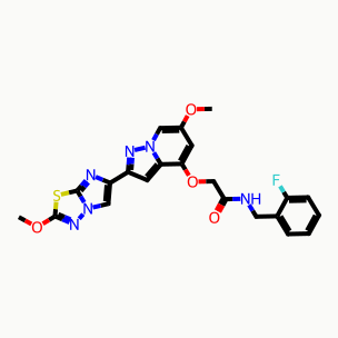 COc1cc(OCC(=O)NCc2ccccc2F)c2cc(-c3cn4nc(OC)sc4n3)nn2c1